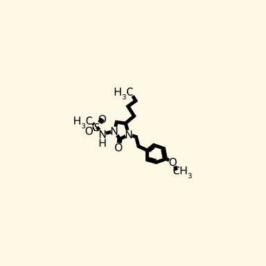 CCCCC1CN(NS(C)(=O)=O)C(=O)N1CCc1ccc(OC)cc1